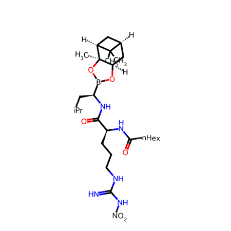 CCCCCCC(=O)N[C@@H](CCCNC(=N)N[N+](=O)[O-])C(=O)N[C@@H](CC(C)C)B1O[C@@H]2C[C@@H]3C[C@@H](C3(C)C)[C@]2(C)O1